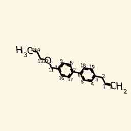 C=CCc1ccc(-c2ccc(COCCC)cc2)cc1